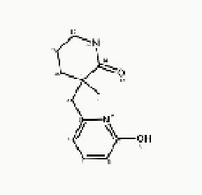 CC1(Cc2cccc(O)n2)CCCNC1=O